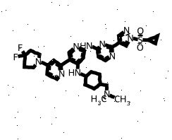 CN(C)CC1CCC(Nc2cc(Nc3ccnc(-c4cnn(S(=O)(=O)C5CC5)c4)n3)ncc2-c2cc(N3CCC(F)(F)CC3)ccn2)CC1